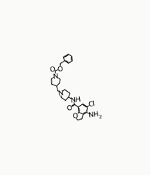 Nc1c(Cl)cc(C(=O)NC2CCN(CC3CCN(C(=O)OCc4ccccc4)CC3)CC2)c2c1CCO2